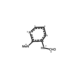 CNc1ncccc1NC=O